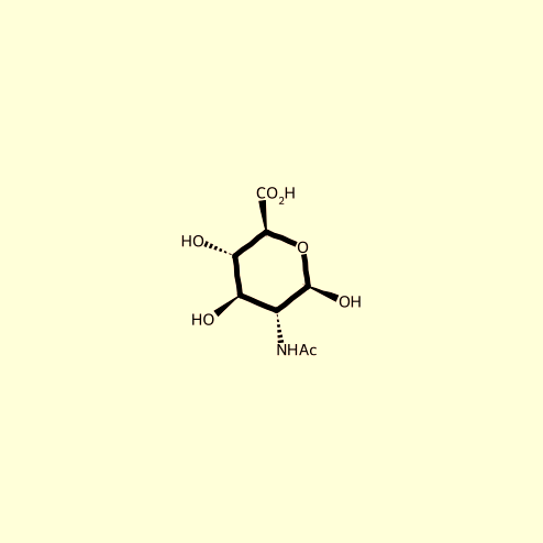 CC(=O)N[C@@H]1[C@@H](O)[C@H](O)[C@@H](C(=O)O)O[C@H]1O